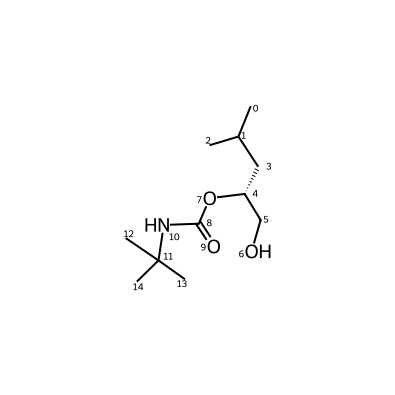 CC(C)C[C@H](CO)OC(=O)NC(C)(C)C